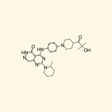 CC1CCCCN1c1nc(Nc2ccc(N3CCC(C(=O)C(C)(C)O)CC3)cc2)c2c(=O)[nH]ncc2n1